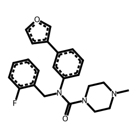 CN1CCN(C(=O)N(Cc2ccccc2F)c2cccc(-c3ccoc3)c2)CC1